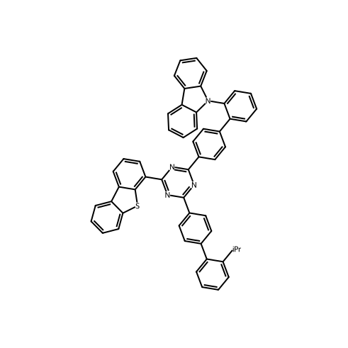 CC(C)c1ccccc1-c1ccc(-c2nc(-c3ccc(-c4ccccc4-n4c5ccccc5c5ccccc54)cc3)nc(-c3cccc4c3sc3ccccc34)n2)cc1